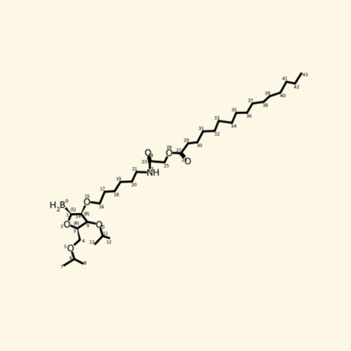 B[C@@H]1O[C@H](COC(C)C)C(OC(C)C)[C@@H]1OCCCCCCNC(=O)COC(=O)CCCCCCCCCCCCCCC